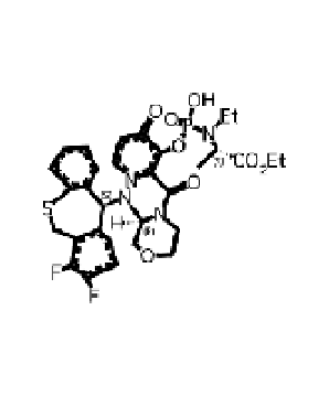 CCOC(=O)[C@H](C)N(CC)P(=O)(O)Oc1c2n(ccc1=O)N([C@@H]1c3ccccc3SCc3c1ccc(F)c3F)[C@@H]1COCCN1C2=O